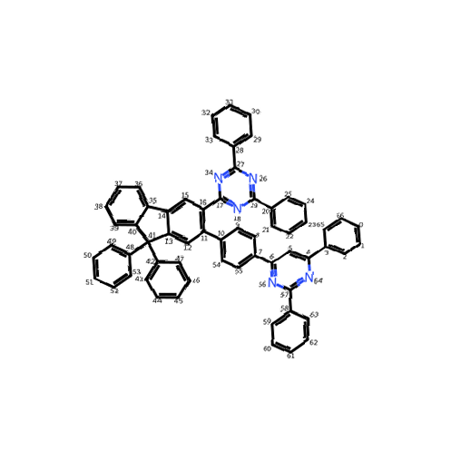 c1ccc(-c2cc(-c3ccc(-c4cc5c(cc4-c4nc(-c6ccccc6)nc(-c6ccccc6)n4)-c4ccccc4C5(c4ccccc4)c4ccccc4)cc3)nc(-c3ccccc3)n2)cc1